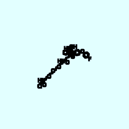 O=C(CCl)NCCOCCOCCOCCNC(=O)CCN(C1(C(=O)NO)CCCC1)S(=O)(=O)c1ccc(Oc2ccc(F)cc2)cc1